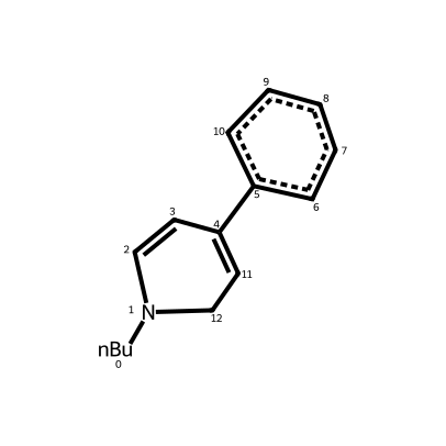 CCCCN1C=CC(c2ccccc2)=CC1